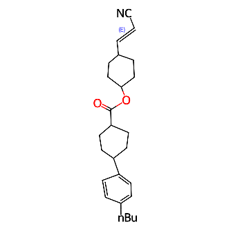 CCCCc1ccc(C2CCC(C(=O)OC3CCC(/C=C/C#N)CC3)CC2)cc1